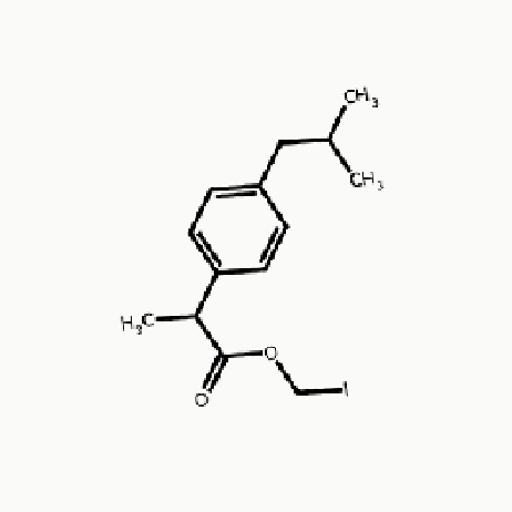 CC(C)Cc1ccc(C(C)C(=O)OCI)cc1